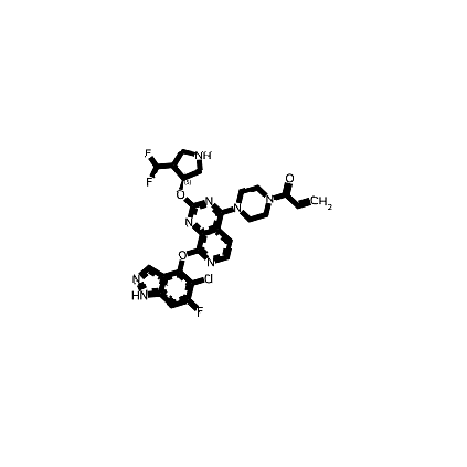 C=CC(=O)N1CCN(c2nc(O[C@@H]3CNCC3C(F)F)nc3c(Oc4c(Cl)c(F)cc5[nH]ncc45)nccc23)CC1